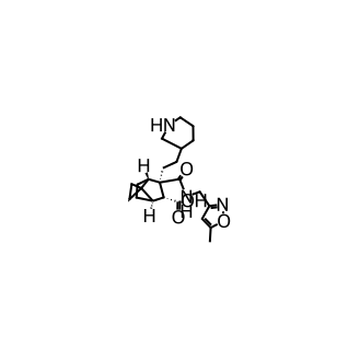 Cc1cc(CNC(=O)[C@@]2(CCC3CCCNC3)[C@H](C(=O)O)[C@H]3CC[C@H]2C32CC2)no1